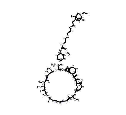 CCN1C[C@@H]2C[C@H]1CN2CCOCCOCCNC(=O)O[C@@H]1CC[C@@H](C[C@@H](N)[C@@H]2C[C@@H](O)[C@H](C)/C=C(\C)[C@@H](O)[C@@H](O)C(=O)[C@H](C)C[C@H](C)/C=C/C=C/C=C(\C)[C@@H](OC)C[C@@H]3CC[C@@H](C)[C@@](O)(O3)C(=O)C(=O)N3CCCC[C@H]3C(=O)O2)C[C@H]1OC